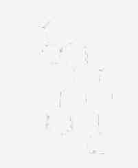 O=C(O)c1cnn2c(NCc3ccccc3)c(C(=O)N3CCC(c4ncco4)CC3)cnc12